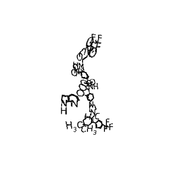 Cc1cc(C(F)(F)F)ccc1C1=C(CN2CCN(c3ccc(C(=O)NS(=O)(=O)c4ccc(NCC5CN(S(=O)(=O)C(F)(F)F)CCO5)c([N+](=O)[O-])c4)c(Oc4cnc5[nH]ccc5c4)c3)CC2)CCC(C)(C)C1